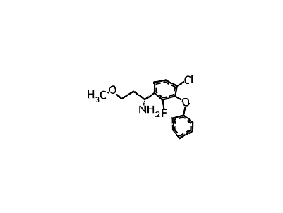 COCC[C@@H](N)c1ccc(Cl)c(Oc2ccccc2)c1F